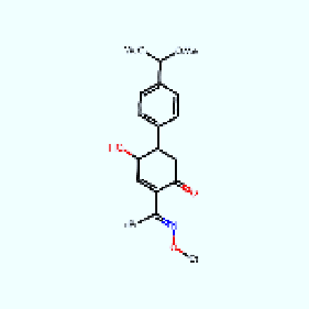 CCCC(=NOCC)C1=CC(O)C(c2ccc(C(OC)OC)cc2)CC1=O